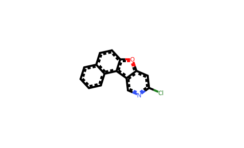 Clc1cc2oc3ccc4ccccc4c3c2cn1